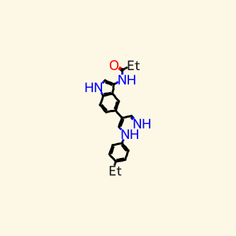 CCC(=O)Nc1c[nH]c2ccc(/C(C=N)=C/Nc3ccc(CC)cc3)cc12